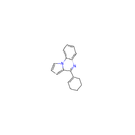 C1=C(c2nc3ccccc3n3cccc23)CCCC1